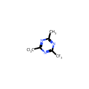 Cc1nc(C(F)(F)F)nc(C(Cl)(Cl)Cl)n1